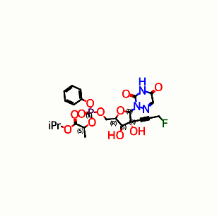 CC(C)OC(=O)[C@H](C)O[P@](=O)(OC[C@H]1O[C@@H](n2ncc(=O)[nH]c2=O)[C@@](O)(C#CCF)[C@H]1O)Oc1ccccc1